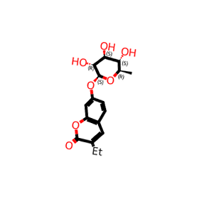 CCc1cc2ccc(O[C@@H]3O[C@H](C)[C@@H](O)[C@H](O)[C@H]3O)cc2oc1=O